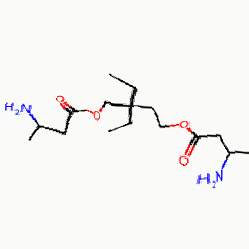 CCC(CC)(CCOC(=O)CC(C)N)COC(=O)CC(C)N